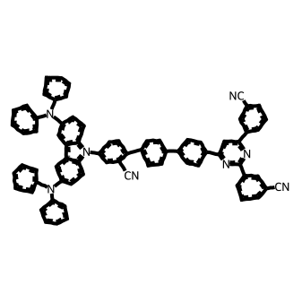 N#Cc1cccc(-c2cc(-c3ccc(-c4ccc(-c5ccc(-n6c7ccc(N(c8ccccc8)c8ccccc8)cc7c7cc(N(c8ccccc8)c8ccccc8)ccc76)cc5C#N)cc4)cc3)nc(-c3cccc(C#N)c3)n2)c1